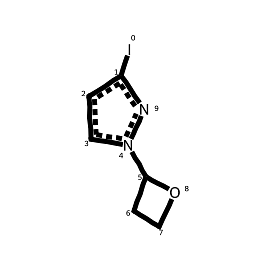 Ic1ccn(C2CCO2)n1